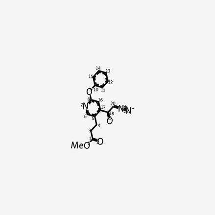 COC(=O)CCc1cnc(Oc2ccccc2)cc1C(=O)C=[N+]=[N-]